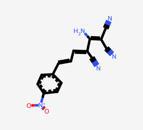 N#CC(C#N)=C(N)/C(C#N)=C/C=C/c1ccc([N+](=O)[O-])cc1